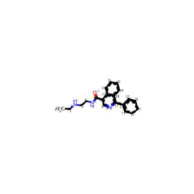 CCNCCNC(=O)c1cnc(-c2ccccc2)c2ccccc12